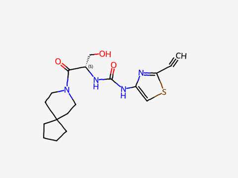 C#Cc1nc(NC(=O)N[C@@H](CO)C(=O)N2CCC3(CCCC3)CC2)cs1